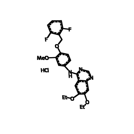 CCOc1cc2ncnc(Nc3ccc(OCc4c(F)cccc4F)c(OC)c3)c2cc1OCC.Cl